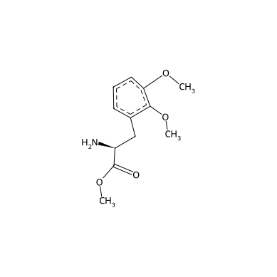 COC(=O)[C@@H](N)Cc1cccc(OC)c1OC